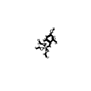 CCO[Si](Cc1c(C)cc(OC)cc1C)(OCC)OCC